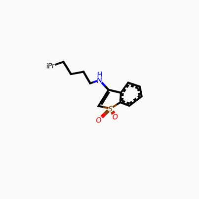 CC(C)CCCCNC1=CS(=O)(=O)c2ccccc21